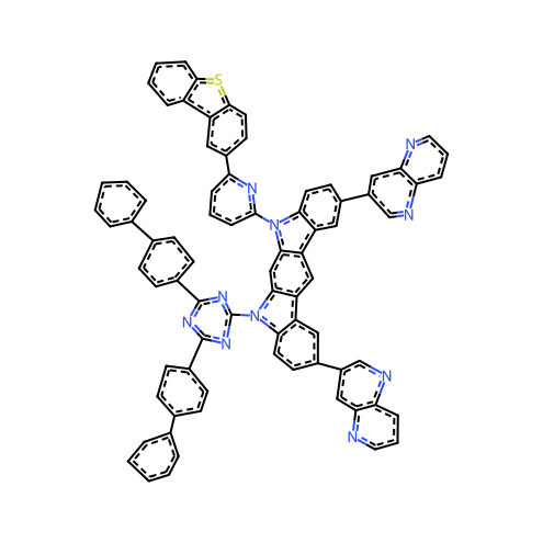 c1ccc(-c2ccc(-c3nc(-c4ccc(-c5ccccc5)cc4)nc(-n4c5ccc(-c6cnc7cccnc7c6)cc5c5cc6c7cc(-c8cnc9cccnc9c8)ccc7n(-c7cccc(-c8ccc9sc%10ccccc%10c9c8)n7)c6cc54)n3)cc2)cc1